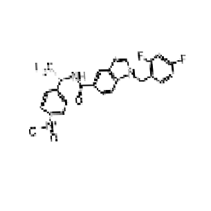 C[C@H](NC(=O)c1ccc2c(ccn2Cc2ccc(F)cc2F)c1)c1ccc([N+](=O)[O-])cc1